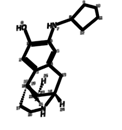 Oc1cc2c(cc1NC1CCCC1)C[C@@H]1NCC[C@]23CCCC[C@H]13